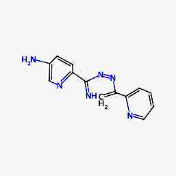 C=C(/N=N\C(=N)c1ccc(N)cn1)c1ccccn1